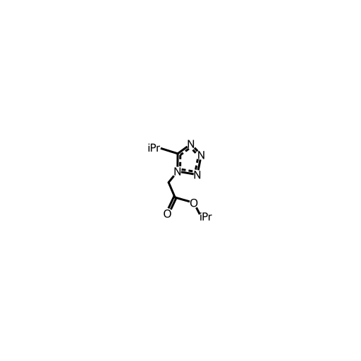 CC(C)OC(=O)Cn1nnnc1C(C)C